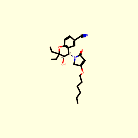 CCCCCCOC1=CC(=O)N([C@H]2c3cc(C#N)ccc3OC(CC)(CC)[C@@H]2O)C1